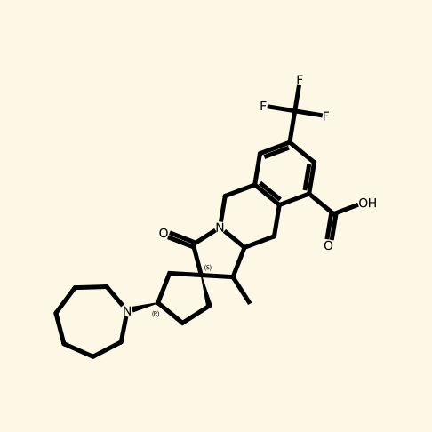 CC1C2Cc3c(cc(C(F)(F)F)cc3C(=O)O)CN2C(=O)[C@]12CC[C@@H](N1CCCCCC1)C2